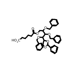 O=C(O)CCCCC(=O)OCC(OCc1ccccc1)C(OCc1ccccc1)C(OCc1ccccc1)C1COC(c2ccccc2)O1